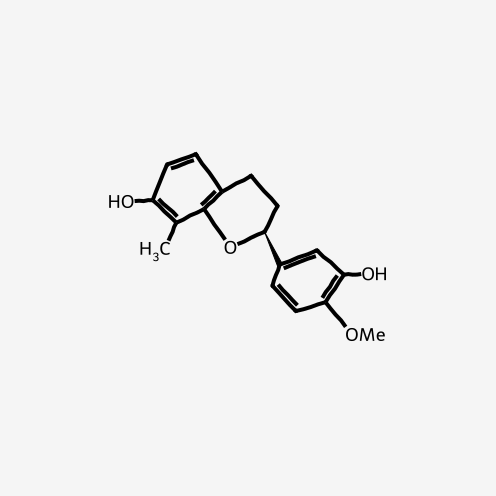 COc1ccc([C@@H]2CCc3ccc(O)c(C)c3O2)cc1O